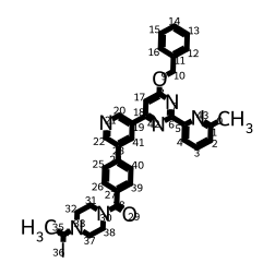 Cc1cccc(-c2nc(OCc3ccccc3)cc(-c3cncc(-c4ccc(C(=O)N5CCN(C(C)I)CC5)cc4)c3)n2)n1